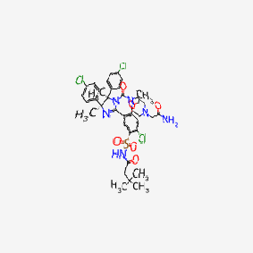 CCOc1cc(Cl)c(S(=O)(=O)NC(=O)CC(C)(C)C)cc1C1=N[C@@](C)(c2ccc(Cl)cc2)[C@@](C)(c2ccc(Cl)cc2)N1C(=O)N1CCN(CC(N)=O)CC1